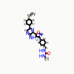 CCNC(=O)NCc1ccc(-c2cc(-c3nc(-c4ccc(SC(C)C)cc4)cnc3N)on2)cc1